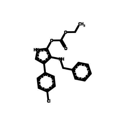 CCOC(=O)Oc1[nH]cc(-c2ccc(Cl)cc2)c1NCc1ccccc1